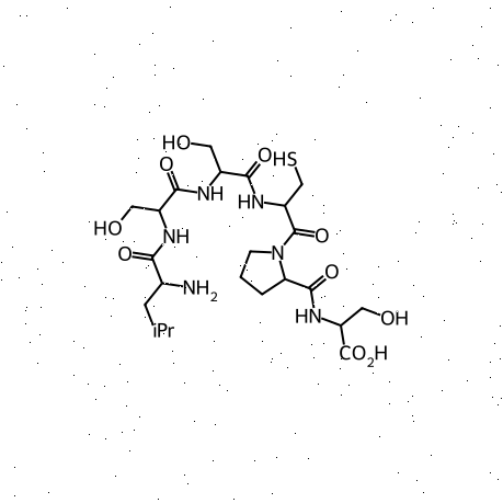 CC(C)CC(N)C(=O)NC(CO)C(=O)NC(CO)C(=O)NC(CS)C(=O)N1CCCC1C(=O)NC(CO)C(=O)O